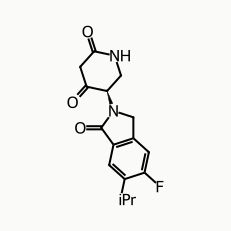 CC(C)c1cc2c(cc1F)CN([C@@H]1CNC(=O)CC1=O)C2=O